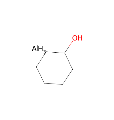 OC1CCCCC1.[AlH3]